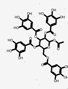 CC(=O)OC1OC(COC(=O)c2cc(O)c(O)c(O)c2)C(OC(=O)c2cc(O)c(O)c(O)c2)C(OC(=O)c2cc(O)c(O)c(O)c2)C1OC(=O)c1cc(O)c(O)c(O)c1